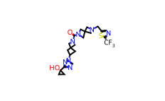 O=C(N1CC2(CC(n3cnc(C4(O)CC4)n3)C2)C1)N1CC2(CN(Cc3cnc(C(F)(F)F)s3)C2)C1